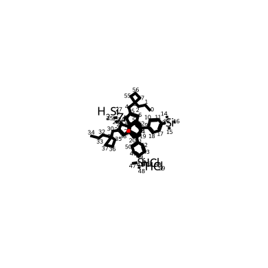 CCCC1(CC2=Cc3c(-c4ccc([Si](C)(C)C)cc4)cccc3[CH]2[Zr]([CH3])([CH3])(=[SiH2])[CH]2C(CC3(CCC)CCC3)=Cc3c(-c4ccc([Si](C)(C)C)cc4)cccc32)CCC1.Cl.Cl